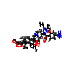 CCOc1cc(C#N)ccc1C(=O)NC1CCN(C[C@H](O)c2ccc3c(c2C)COC3=O)CC1